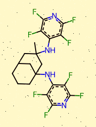 CC1(Nc2c(F)c(F)nc(F)c2F)CC2CCCC(Nc3c(F)c(F)nc(F)c3F)(C2)C1